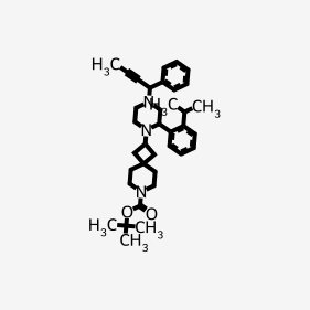 CC#CC(c1ccccc1)N1CCN(C2CC3(CCN(C(=O)OC(C)(C)C)CC3)C2)C(c2ccccc2C(C)C)C1